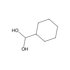 OC(O)[C]1CCCCC1